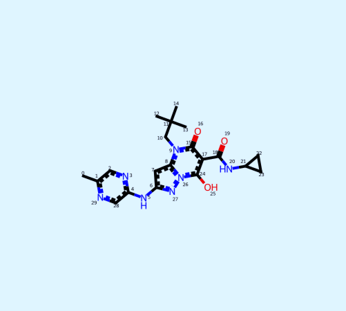 Cc1cnc(Nc2cc3n(CC(C)(C)C)c(=O)c(C(=O)NC4CC4)c(O)n3n2)cn1